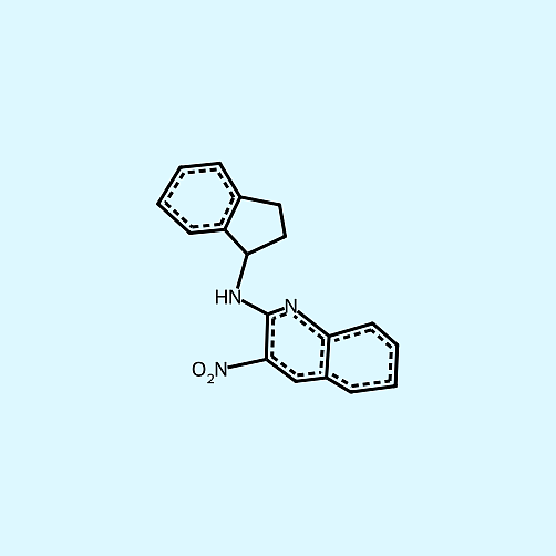 O=[N+]([O-])c1cc2ccccc2nc1NC1CCc2ccccc21